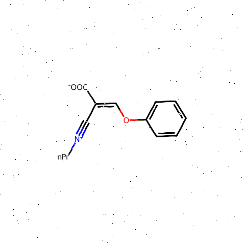 CCC[N+]#CC(=COc1ccccc1)C(=O)[O-]